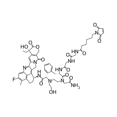 CC[C@@]1(O)C(=O)OCc2c1cc1n(c2=O)Cc2c-1nc1cc(F)c(C)c3c1c2[C@@H](NC(=O)CN(CCO)CCN(CC(N)=O)C(=O)[C@H](Cc1ccccc1)NC(=O)CNC(=O)CNC(=O)CCCCCN1C(=O)C=CC1=O)CC3